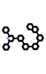 c1ccc(-c2cc(-c3cccc(-c4cccc(-c5cccc(-c6cccc(-c7ccc8ccccc8c7)c6)c5)c4)c3)cc(-c3ccccc3)n2)cc1